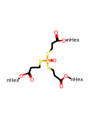 CCCCCCOC(=O)CCSP(=O)(SCCC(=O)OCCCCCC)SCCC(=O)OCCCCCC